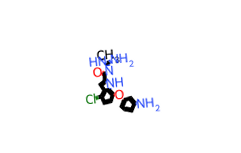 CNC(N)=NC(=O)c1cc2c(Cl)ccc(Oc3cccc(N)c3)c2[nH]1